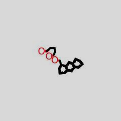 O=C1CCCC(OCc2cccc3cc4ccccc4cc23)O1